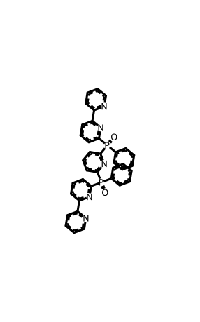 O=P(c1ccccc1)(c1cccc(-c2ccccn2)n1)c1cccc(P(=O)(c2ccccc2)c2cccc(-c3ccccn3)n2)n1